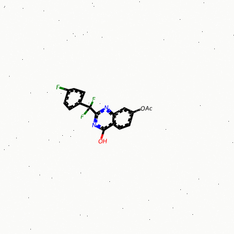 CC(=O)Oc1ccc2c(O)nc(C(F)(F)c3ccc(F)cc3)nc2c1